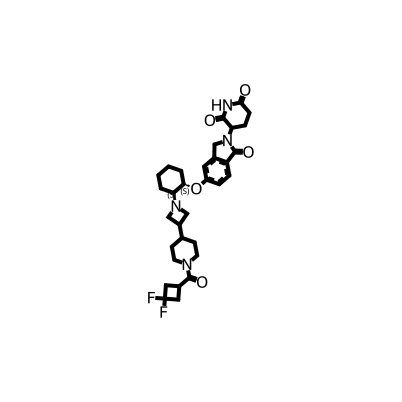 O=C1CCC(N2Cc3cc(O[C@H]4CCCC[C@@H]4N4CC(C5CCN(C(=O)C6CC(F)(F)C6)CC5)C4)ccc3C2=O)C(=O)N1